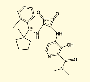 Cc1ncccc1[C@H](Nc1c(Nc2ccnc(C(=O)N(C)C)c2O)c(=O)c1=O)C1(C)CCCC1